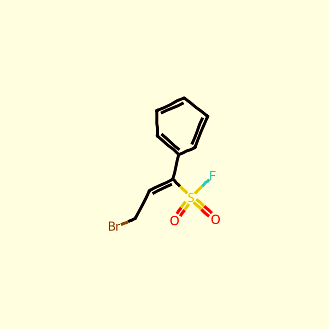 O=S(=O)(F)C(=CCBr)c1ccccc1